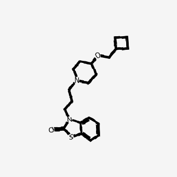 O=c1sc2ccccc2n1CCCN1CCC(OCC2CCC2)CC1